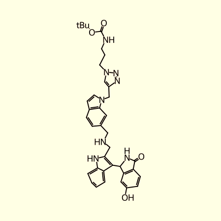 CC(C)(C)OC(=O)NCCCn1cc(Cn2ccc3ccc(CNCc4[nH]c5ccccc5c4C4NC(=O)c5ccc(O)cc54)cc32)nn1